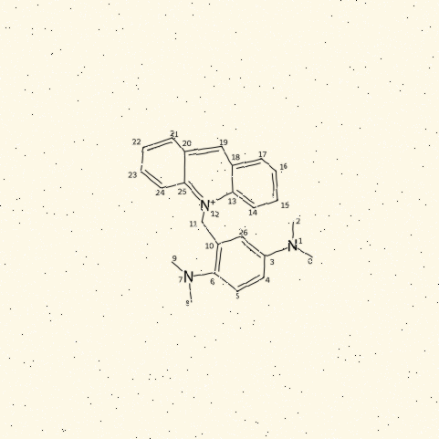 CN(C)c1ccc(N(C)C)c(C[n+]2c3ccccc3cc3ccccc32)c1